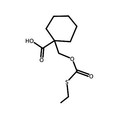 CCSC(=O)OCC1(C(=O)O)CCCCC1